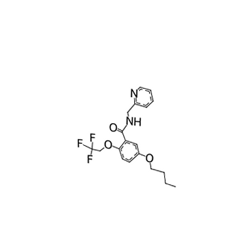 CCCCOc1ccc(OCC(F)(F)F)c(C(=O)NCc2ccccn2)c1